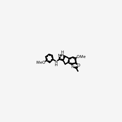 COc1cccc(Nc2n[nH]c3c2Cc2c-3cc(OC)c3oc(C)nc23)c1